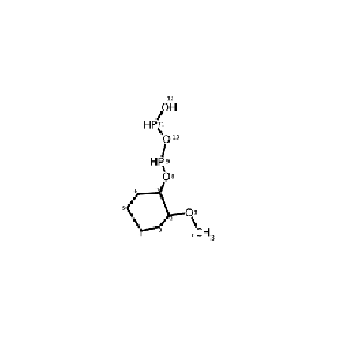 COC1CCCCC1OPOPO